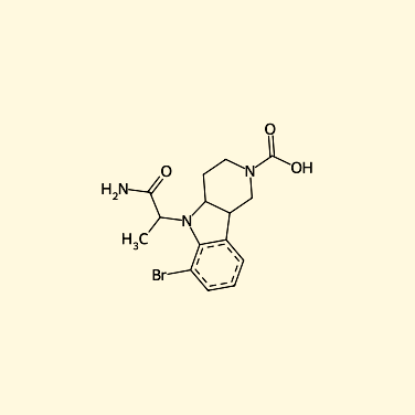 CC(C(N)=O)N1c2c(Br)cccc2C2CN(C(=O)O)CCC21